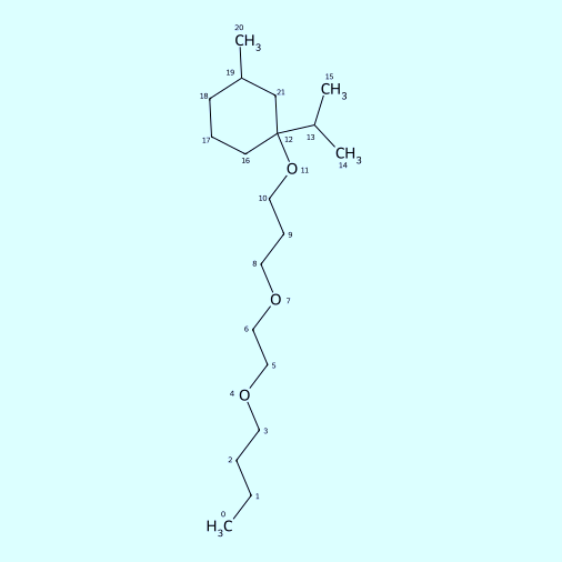 CCCCOCCOCCCOC1(C(C)C)CCCC(C)C1